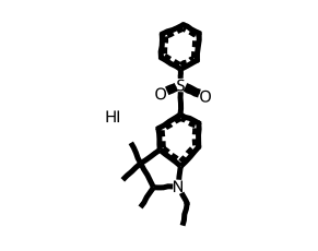 CCN1c2ccc(S(=O)(=O)c3ccccc3)cc2C(C)(C)C1C.I